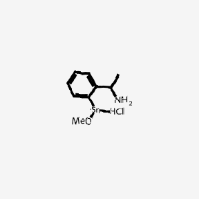 C[O][Sn]([CH3])[c]1ccccc1C(C)N.Cl